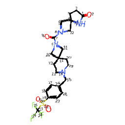 O=C1CCC2(CN(C(=O)N3CC4(CCN(Cc5ccc(S(=O)(=O)C(F)(F)F)cc5)CC4)C3)C2)N1